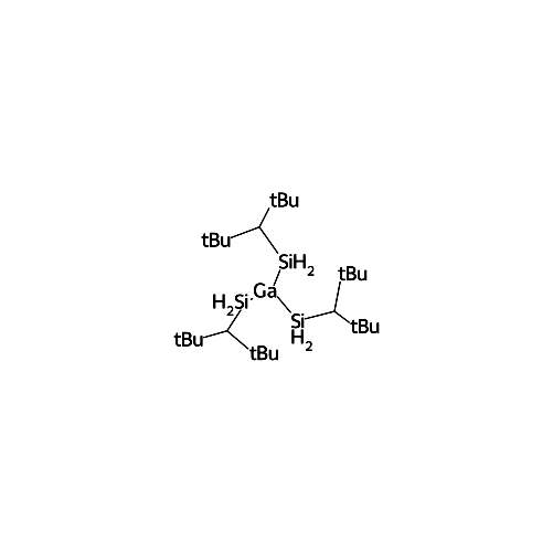 CC(C)(C)C([SiH2][Ga]([SiH2]C(C(C)(C)C)C(C)(C)C)[SiH2]C(C(C)(C)C)C(C)(C)C)C(C)(C)C